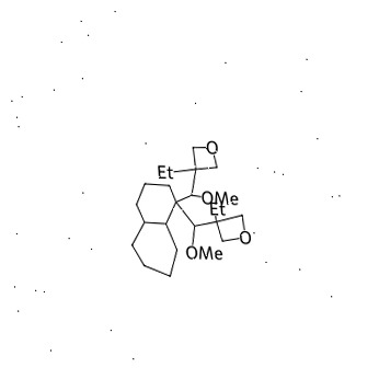 CCC1(C(OC)C2(C(OC)C3(CC)COC3)CCCC3CCCCC32)COC1